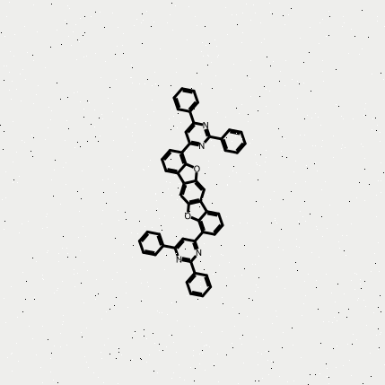 c1ccc(-c2cc(-c3cccc4c3oc3cc5c(cc34)oc3c(-c4cc(-c6ccccc6)nc(-c6ccccc6)n4)cccc35)nc(-c3ccccc3)n2)cc1